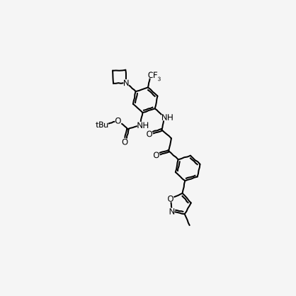 Cc1cc(-c2cccc(C(=O)CC(=O)Nc3cc(C(F)(F)F)c(N4CCC4)cc3NC(=O)OC(C)(C)C)c2)on1